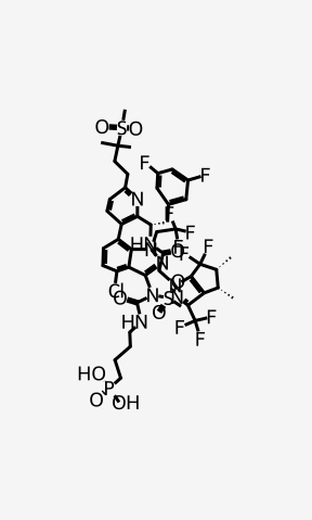 C[C@@H]1c2c(C(F)(F)F)nn(CC(=O)N[C@@H](Cc3cc(F)cc(F)c3)c3nc(CCC(C)(C)S(C)(=O)=O)ccc3-c3ccc(Cl)c4c(N(C(=O)NCCCCP(=O)(O)O)S(C)(=O)=O)nn(CC(F)(F)F)c34)c2C(F)(F)[C@@H]1C